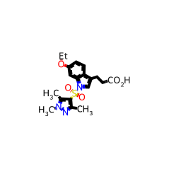 CCOc1ccc2c(CCC(=O)O)cn(S(=O)(=O)c3c(C)nn(C)c3C)c2c1